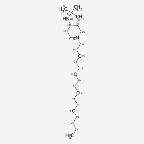 CCCCOCCOCCOCCOCCN1CCC(NC(C)(C)C)CC1